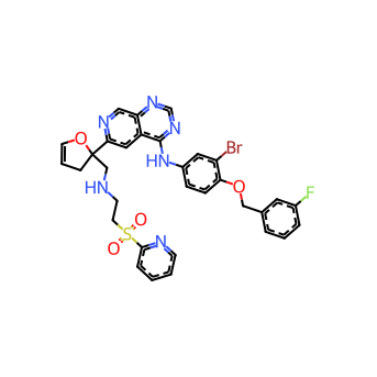 O=S(=O)(CCNCC1(c2cc3c(Nc4ccc(OCc5cccc(F)c5)c(Br)c4)ncnc3cn2)CC=CO1)c1ccccn1